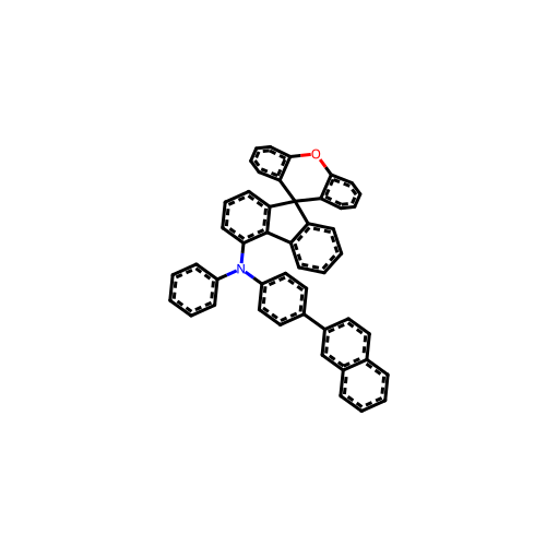 c1ccc(N(c2ccc(-c3ccc4ccccc4c3)cc2)c2cccc3c2-c2ccccc2C32c3ccccc3Oc3ccccc32)cc1